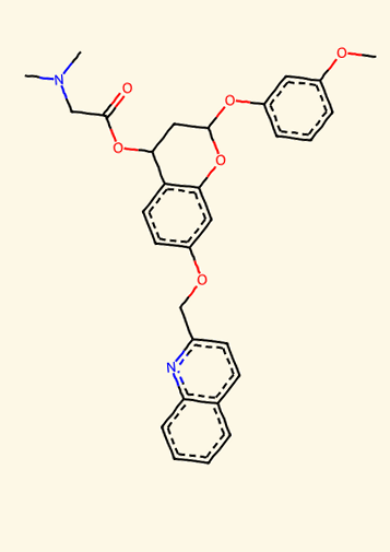 COc1cccc(OC2CC(OC(=O)CN(C)C)c3ccc(OCc4ccc5ccccc5n4)cc3O2)c1